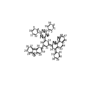 c1ccc(-c2nc(-c3ccccc3)nc(-c3cc(-c4ccc5sc6ccccc6c5c4)cc(-c4cc(-c5ccccc5)c5ccc6cccnc6c5n4)c3)n2)cc1